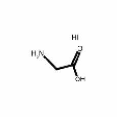 I.NCC(=O)O